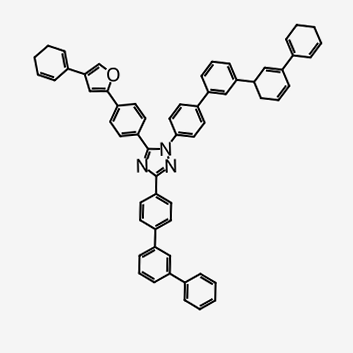 C1=CC(C2=CC(c3cccc(-c4ccc(-n5nc(-c6ccc(-c7cccc(-c8ccccc8)c7)cc6)nc5-c5ccc(-c6cc(C7=CCCC=C7)co6)cc5)cc4)c3)CC=C2)=CCC1